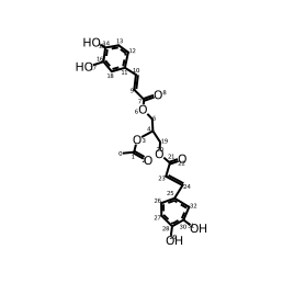 CC(=O)OC(COC(=O)/C=C/c1ccc(O)c(O)c1)COC(=O)/C=C/c1ccc(O)c(O)c1